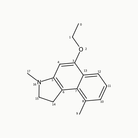 CCOc1cc2c(c3c(C)cccc13)CCN2C